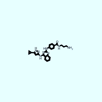 NCCCNC(=O)c1ccc(Nc2nc(Nc3cc(C4CC4)[nH]n3)c3ccccc3n2)cc1